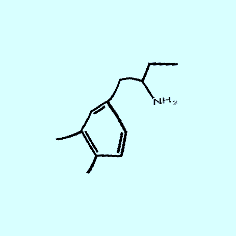 CCC(N)Cc1ccc(C)c(C)c1